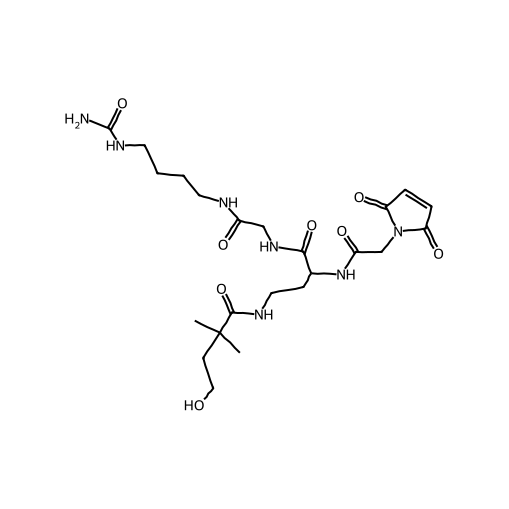 CC(C)(CCO)C(=O)NCCC(NC(=O)CN1C(=O)C=CC1=O)C(=O)NCC(=O)NCCCCNC(N)=O